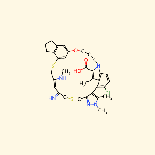 CN/C1=C\C(=N)CSCc2nn(C)c(C)c2-c2c(Cl)ccc3c2c(C)c(C(=O)O)n3CCCOc2cc3c(c(c2)SC1)CCC3